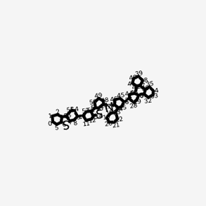 c1ccc2c(c1)sc1cc(-c3ccc4sc5c(-n6c7ccccc7c7cc(-c8ccc9c%10ccccc%10c%10ccccc%10c9c8)ccc76)cccc5c4c3)ccc12